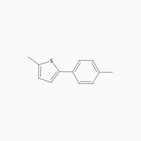 Cc1[c]cc(-c2ccc(C)s2)cc1